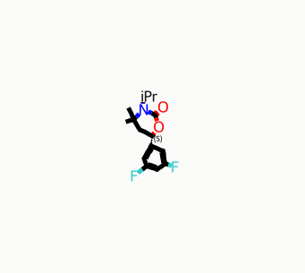 CC(C)N1C(=O)O[C@H](c2cc(F)cc(F)c2)CC1(C)C